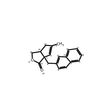 CC1=CC2(Cc3ccc4ccccc4c3)C(=O)OCC2C1